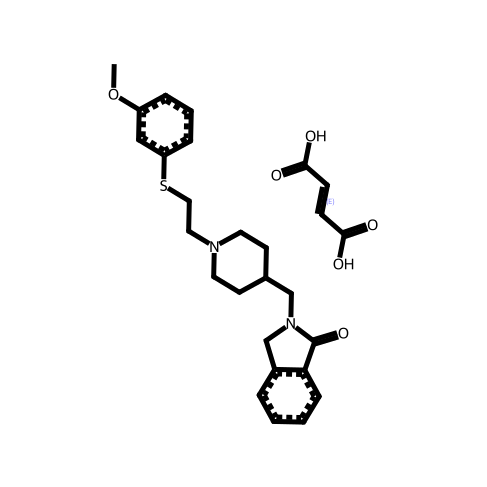 COc1cccc(SCCN2CCC(CN3Cc4ccccc4C3=O)CC2)c1.O=C(O)/C=C/C(=O)O